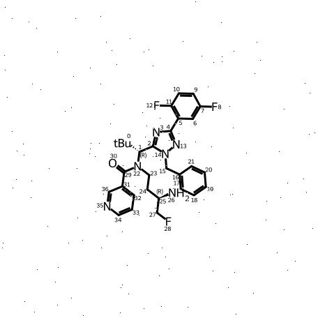 CC(C)(C)[C@H](c1nc(-c2cc(F)ccc2F)nn1Cc1ccccc1)N(CC[C@@H](N)CF)C(=O)c1cccnc1